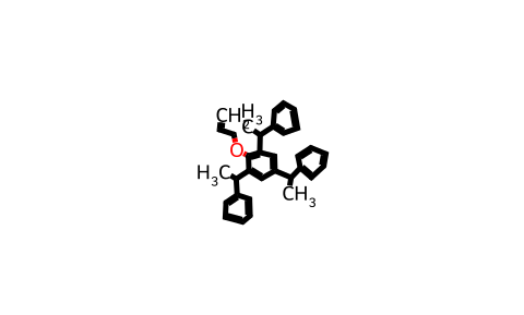 C=CCOc1c(C(C)c2ccccc2)cc(C(C)c2ccccc2)cc1C(C)c1ccccc1